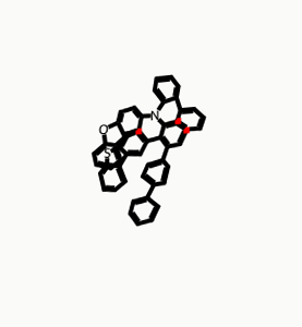 c1ccc(-c2ccc(-c3cccc(N(c4ccc5oc6ccccc6c5c4)c4ccccc4-c4ccccc4)c3-c3ccc4sc5ccccc5c4c3)cc2)cc1